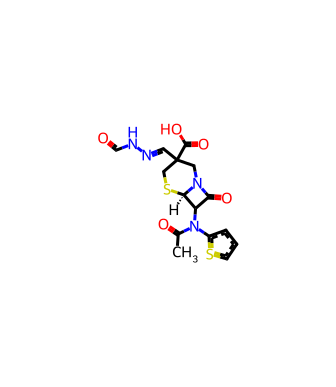 CC(=O)N(c1cccs1)C1C(=O)N2CC(C=NNC=O)(C(=O)O)CS[C@H]12